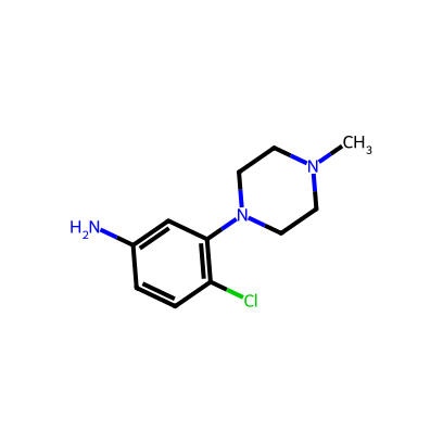 CN1CCN(c2cc(N)ccc2Cl)CC1